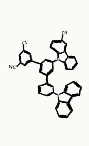 N#Cc1cc(C#N)cc(-c2cc(-c3cccc(-n4c5ccccc5c5ccccc54)c3)cc(-n3c4ccccc4c4cc(C#N)ccc43)c2)c1